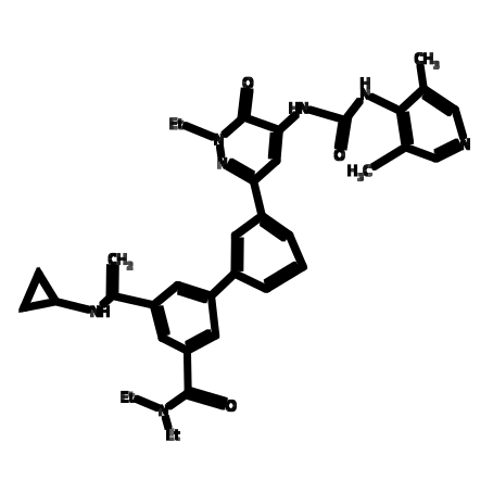 C=C(NC1CC1)c1cc(C(=O)N(CC)CC)cc(-c2cccc(-c3cc(NC(=O)Nc4c(C)cncc4C)c(=O)n(CC)n3)c2)c1